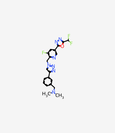 CN(C)Cc1cccc(-c2cn(Cc3ncc(-c4nnc(C(F)F)o4)cc3F)nn2)c1